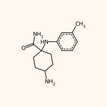 Cc1cccc(NC2(C(N)=O)CCC(N)CC2)c1